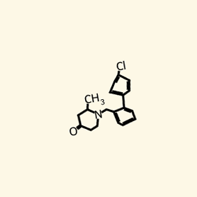 CC1CC(=O)CCN1Cc1ccccc1-c1ccc(Cl)cc1